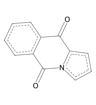 O=C1c2ccccc2C(=O)n2cccc21